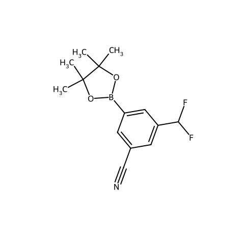 CC1(C)OB(c2cc(C#N)cc(C(F)F)c2)OC1(C)C